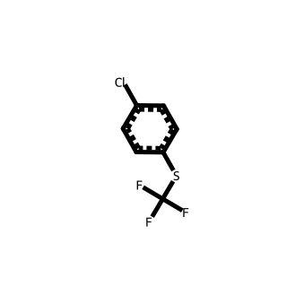 FC(F)(F)Sc1ccc(Cl)cc1